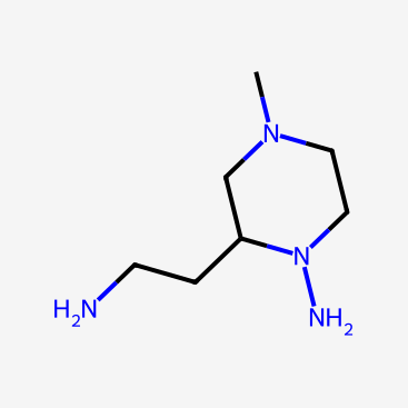 CN1CCN(N)C(CCN)C1